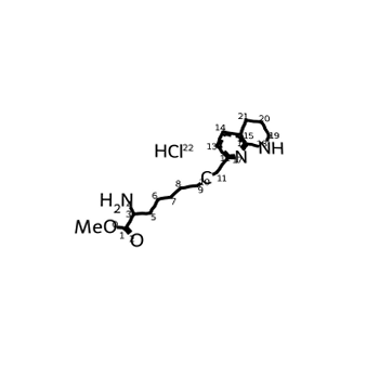 COC(=O)C(N)CCCCCCCc1ccc2c(n1)NCCC2.Cl